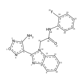 Nc1nonc1-c1nc2ccccc2n1CC(=O)Nc1ccccc1F